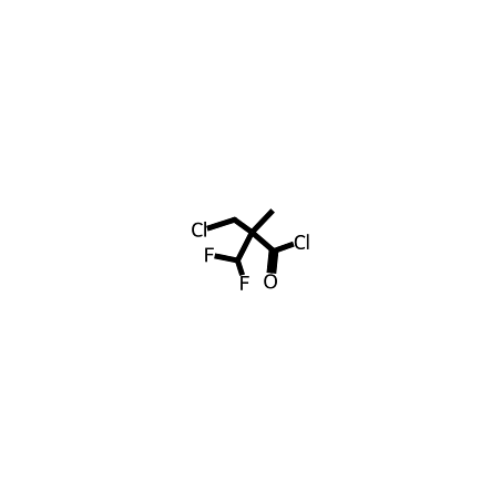 CC(CCl)(C(=O)Cl)C(F)F